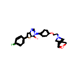 O=c1c2sc(-c3ccc(F)cc3)cc2ncn1-c1ccc(OCCN2CC3(COC3)C2)cc1